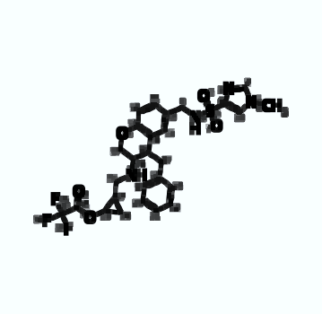 Cn1cnc(S(=O)(=O)NCc2ccc3c(c2)C(Cc2ccccc2)C(NCC2CC2OC(=O)C(F)(F)F)CO3)c1